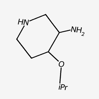 CC(C)OC1CCNCC1N